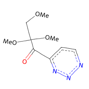 COCC(OC)(OC)C(=O)c1ccnnn1